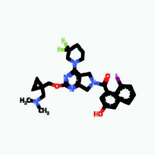 CN(C)CC1(COc2nc3c(c(N4CCCC(F)(F)C4)n2)CN(C(=O)c2cc(O)cc4cccc(I)c24)C3)CC1